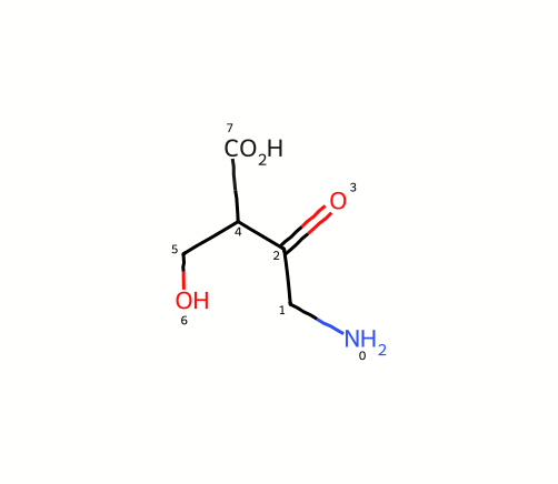 NCC(=O)C(CO)C(=O)O